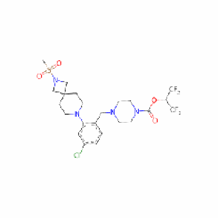 CS(=O)(=O)N1CC2(CCN(c3cc(Cl)ccc3CN3CCN(C(=O)OC(C(F)(F)F)C(F)(F)F)CC3)CC2)C1